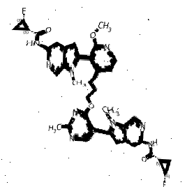 COc1nccc(CCCOc2nc(C)ncc2-c2cc3cc(NC(=O)[C@@H]4C[C@@H]4F)ncc3n2C)c1-c1cc2cc(NC(=O)[C@@H]3C[C@@H]3F)ncc2n1C